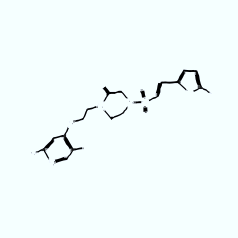 Nc1cc(NCCN2CCN(S(=O)(=O)/C=C/c3ccc(Cl)s3)CC2=O)c(Cl)cn1